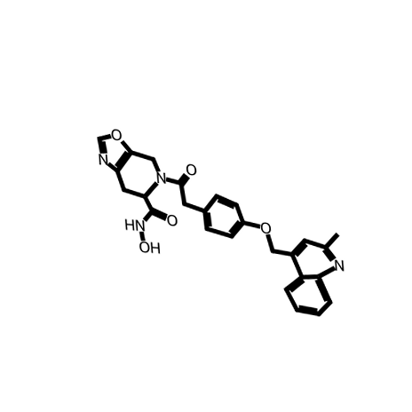 Cc1cc(COc2ccc(CC(=O)N3Cc4ocnc4CC3C(=O)NO)cc2)c2ccccc2n1